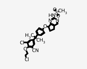 CC(C)(c1ccc(OC2CCc3cnc(NS(C)(=O)=O)nc32)cc1)c1cc(Cl)c(OCCCl)c(C#N)c1